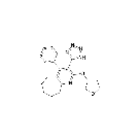 c1ccc(-c2c3c(nc(OC4CCOC4)c2-c2nnn[nH]2)CCCCC3)cc1